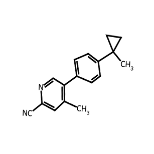 Cc1cc(C#N)ncc1-c1ccc(C2(C)CC2)cc1